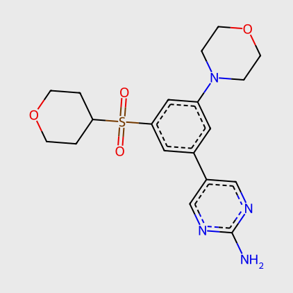 Nc1ncc(-c2cc(N3CCOCC3)cc(S(=O)(=O)C3CCOCC3)c2)cn1